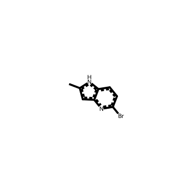 Cc1cc2nc(Br)ccc2[nH]1